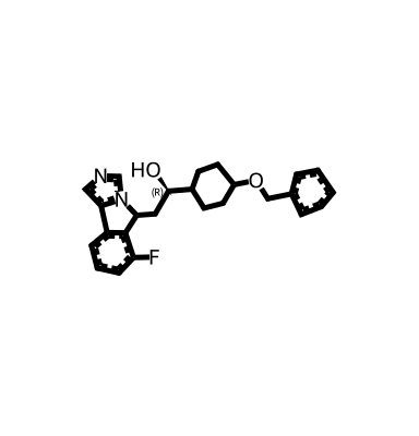 O[C@H](CC1c2c(F)cccc2-c2cncn21)C1CCC(OCc2ccccc2)CC1